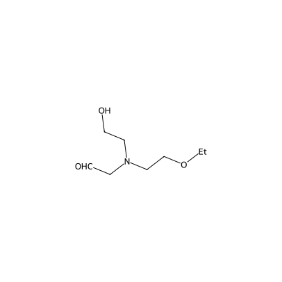 CCOCCN(CC=O)CCO